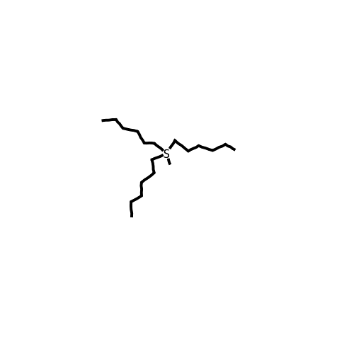 CCCCCCS(C)(CCCCCC)CCCCCC